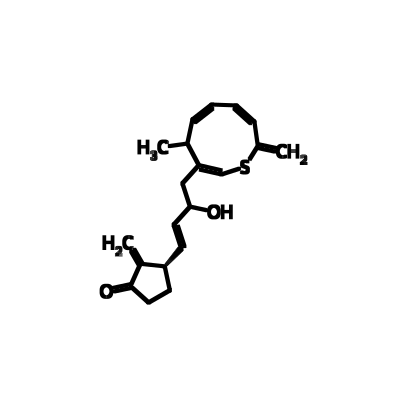 C=C1/C=C\C=C/C(C)/C(CC(O)/C=C/[C@H]2CCC(=O)C2=C)=C\S1